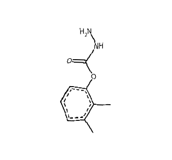 Cc1cccc(OC(=O)NN)c1C